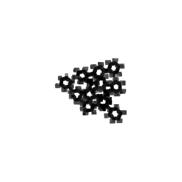 c1ccc(-c2ccc(-c3cccc(-c4nc(-c5ccccc5)nc(-n5c6ccccc6c6ccc7c(c8ccccc8n7-c7ccccc7-c7ccc(-c8ccccc8)cc7)c65)n4)c3)cc2)cc1